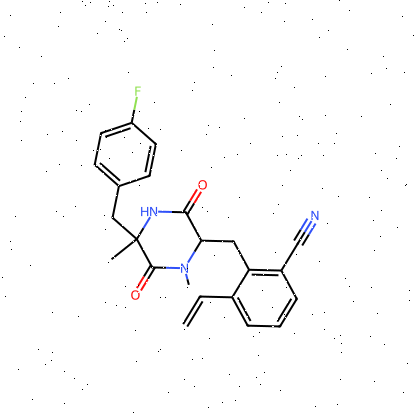 C=Cc1cccc(C#N)c1CC1C(=O)NC(C)(Cc2ccc(F)cc2)C(=O)N1C